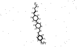 CCCc1ccc(CCC2CCC(C3CCC(C=CCCF)CC3)CC2)cc1